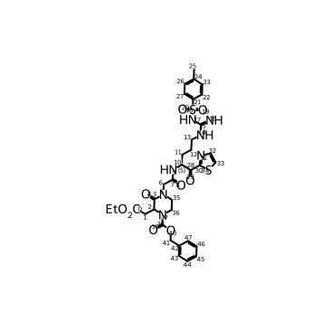 CCOC(=O)CC1C(=O)N(CC(=O)N[C@@H](CCCNC(=N)NS(=O)(=O)c2ccc(C)cc2)C(=O)c2nccs2)CCN1C(=O)OCc1ccccc1